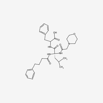 CC(C)C[C@@](NC(=O)CCCc1ccccc1)(NC(=O)CN1CCOCC1)C(=O)NC(Cc1ccccc1)C(=O)O